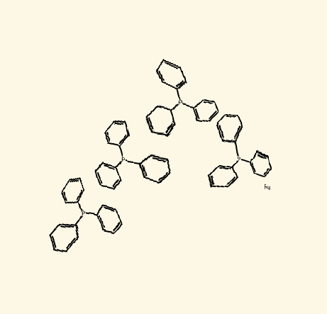 C1=CCC(P(c2ccccc2)c2ccccc2)C=C1.[Ru].c1ccc(P(c2ccccc2)c2ccccc2)cc1.c1ccc(P(c2ccccc2)c2ccccc2)cc1.c1ccc(P(c2ccccc2)c2ccccc2)cc1